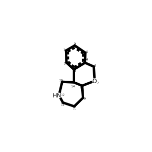 c1ccc2c(c1)COC1CCCNCC21